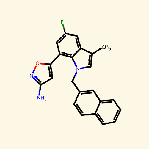 Cc1cn(Cc2ccc3ccccc3c2)c2c(-c3cc(N)no3)cc(F)cc12